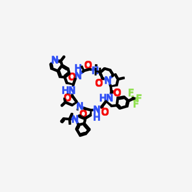 C=CC(C)(C)n1cc(C[C@@H]2NC(=O)[C@H](Cc3ccc(C(F)(F)F)cc3)NC(=O)[C@H](CC(C)C)N3CCC[C@@H](C3=O)N(C)C(=O)[C@H](C)NC(=O)[C@H](Cc3ccc4c(C)nccc4c3)NC(=O)[C@H](CC(C)C)N(C)C2=O)c2ccccc21